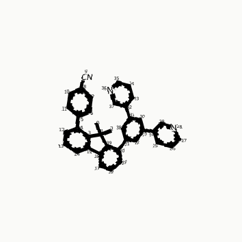 CC1(C)c2c(-c3ccc(C#N)cc3)cccc2-c2cccc(-c3cc(-c4cccnc4)cc(-c4cccnc4)c3)c21